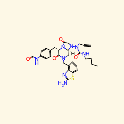 C#CCN(C(=O)NCCCC)N1CC(=O)N2[C@@H](Cc3ccc(NC=O)cc3)C(=O)N(Cc3cccc4sc(N)nc34)C[C@@H]21